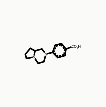 O=C(O)c1ccc(N2CCN3CCCC3C2)cc1